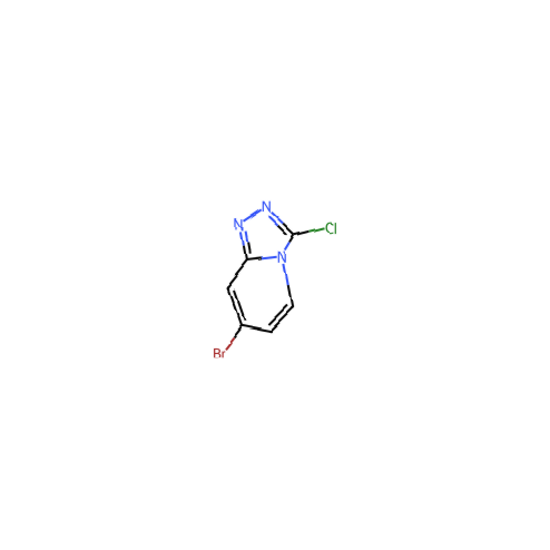 Clc1nnc2cc(Br)ccn12